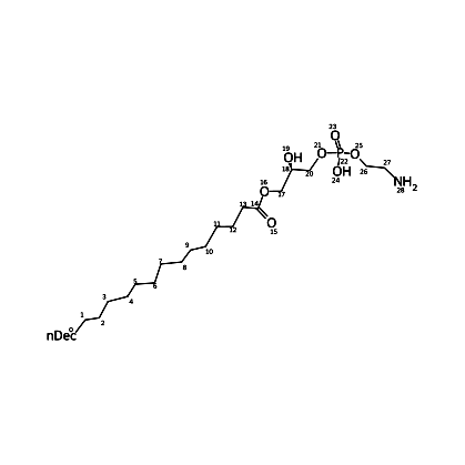 CCCCCCCCCCCCCCCCCCCCCCCC(=O)OC[C@@H](O)COP(=O)(O)OCCN